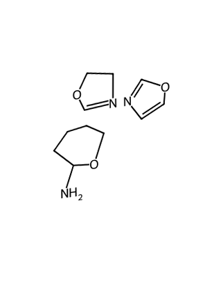 C1=NCCO1.NC1CCCCO1.c1cocn1